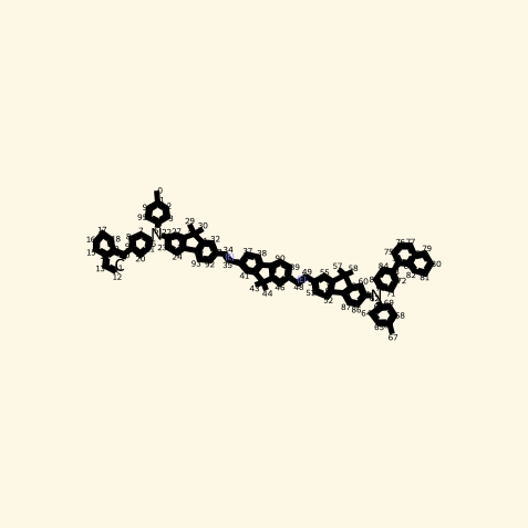 Cc1ccc(N(c2ccc(-c3cccc4ccccc34)cc2)c2ccc3c(c2)C(C)(C)c2cc(/C=C/c4ccc5c(c4)C(C)(C)c4cc(/C=C/c6ccc7c(c6)C(C)(C)c6cc(N(c8ccc(C)cc8)c8ccc(-c9cccc%10ccccc9%10)cc8)ccc6-7)ccc4-5)ccc2-3)cc1